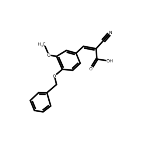 COc1cc(C=C(C#N)C(=O)O)ccc1OCc1ccccc1